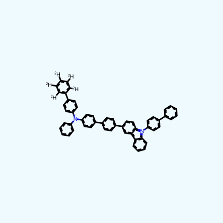 [2H]c1c([2H])c([2H])c(-c2ccc(N(c3ccccc3)c3ccc(-c4ccc(-c5ccc6c(c5)c5ccccc5n6-c5ccc(-c6ccccc6)cc5)cc4)cc3)cc2)c([2H])c1[2H]